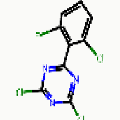 Fc1cccc(Cl)c1-c1nc(Cl)nc(Cl)n1